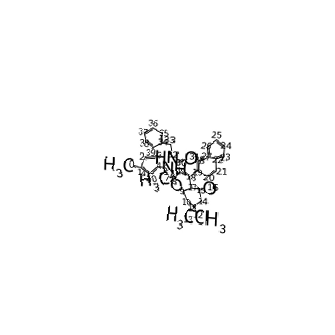 Cc1ccc(N[C@@]2(C)OC3CC(C)(C)CC(=O)C3[C@H](c3ccc4ccccc4c3)[C@H]2C(=O)NCc2ccccc2)cc1